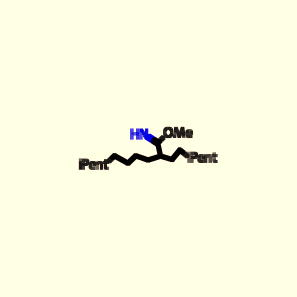 CCCC(C)CCCCC(CCC(C)CCC)C(=N)OC